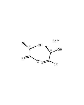 C[C@@H](O)C(=O)[O-].C[C@@H](O)C(=O)[O-].[Ba+2]